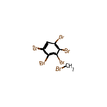 Brc1cc(Br)c(Br)c(Br)c1Br.CBr